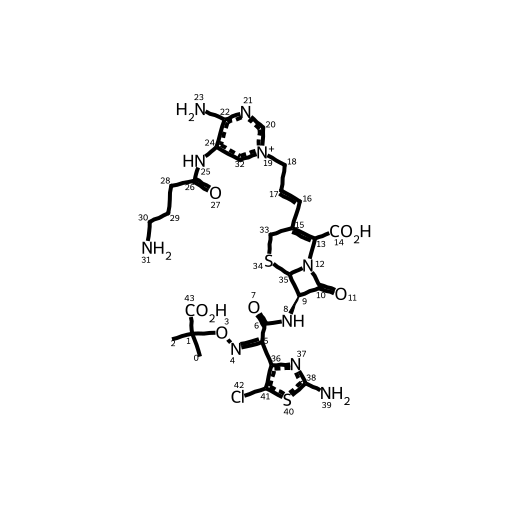 CC(C)(O/N=C(\C(=O)N[C@@H]1C(=O)N2C(C(=O)O)=C(/C=C/C[n+]3cnc(N)c(NC(=O)CCCN)c3)CSC12)c1nc(N)sc1Cl)C(=O)O